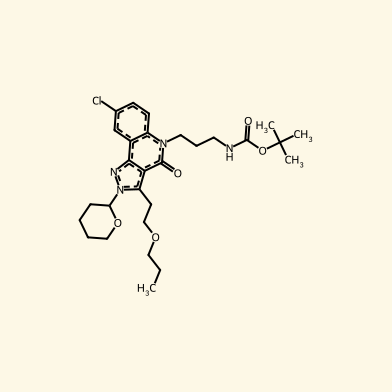 CCCOCCc1c2c(=O)n(CCCNC(=O)OC(C)(C)C)c3ccc(Cl)cc3c2nn1C1CCCCO1